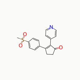 CS(=O)(=O)c1ccc(C2=C(c3ccncc3)C(=O)CC2)cc1